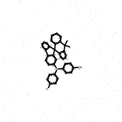 CC1(C)c2ccccc2C2(c3ccccc3-c3ccc(N(c4ccc(F)cc4)c4ccc(C#N)cc4)cc32)c2ccccc21